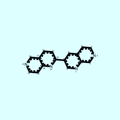 [c]1nc2cnccc2cc1-c1ccc2cnccc2n1